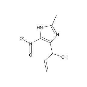 C=CC(O)c1nc(C)[nH]c1[N+](=O)[O-]